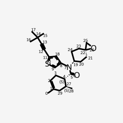 CC1=CC[C@H](C(=O)N(c2csc(C#CC(C)(C)C)c2)[C@H]2CC[C@]3(CC2)CO3)[C@@H](C)C1